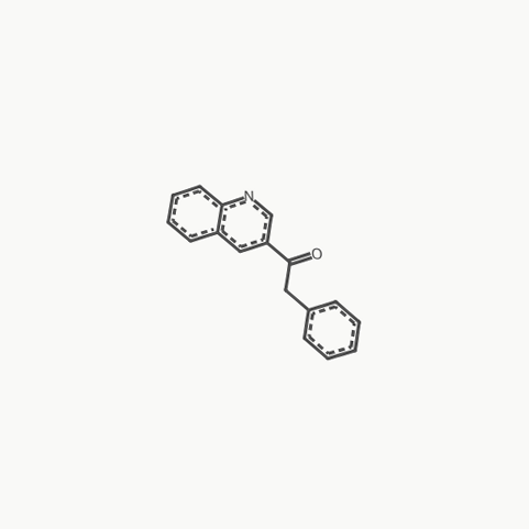 O=C(Cc1ccccc1)c1cnc2ccccc2c1